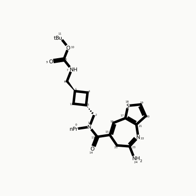 CCCN(C[C@H]1C[C@H](CNC(=O)OC(C)(C)C)C1)C(=O)C1=Cc2sccc2N=C(N)C1